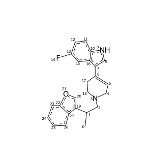 CC(CN1CC=C(c2c[nH]c3ccc(F)cc23)CC1)c1coc2ccccc12